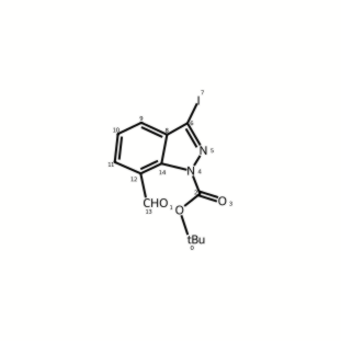 CC(C)(C)OC(=O)n1nc(I)c2cccc(C=O)c21